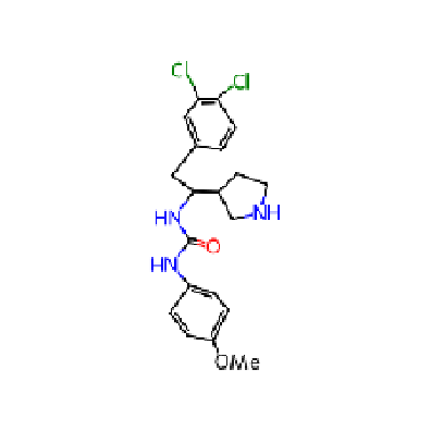 COc1ccc(NC(=O)NC(Cc2ccc(Cl)c(Cl)c2)C2CCNC2)cc1